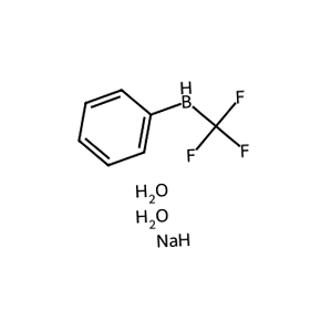 FC(F)(F)Bc1ccccc1.O.O.[NaH]